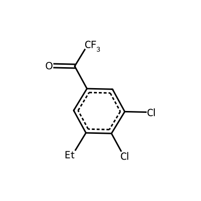 CCc1cc(C(=O)C(F)(F)F)cc(Cl)c1Cl